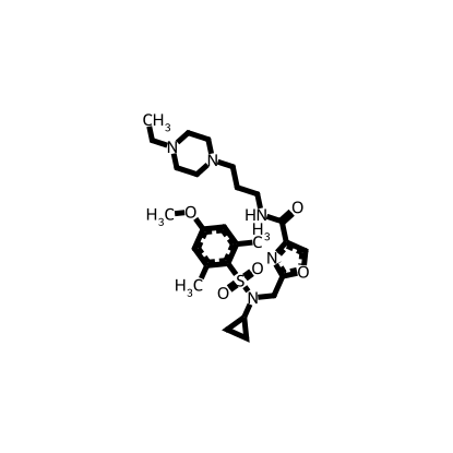 CCN1CCN(CCCNC(=O)c2coc(CN(C3CC3)S(=O)(=O)c3c(C)cc(OC)cc3C)n2)CC1